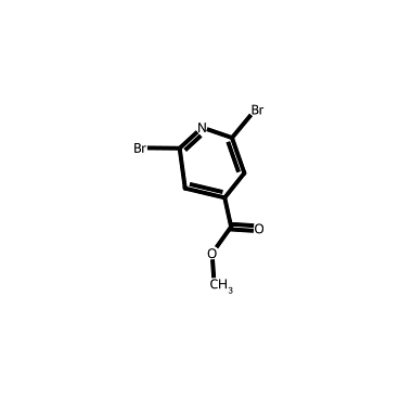 COC(=O)c1cc(Br)nc(Br)c1